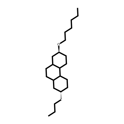 CCCCCCO[C@H]1CCC2C(CCC3C[C@@H](CCCC)CCC32)C1